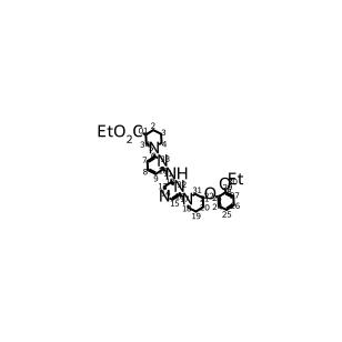 CCOC(=O)C1CCCN(c2cccc(Nc3cncc(N4CCCC(Oc5ccccc5OCC)C4)n3)n2)C1